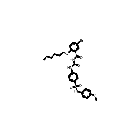 CCCCCCOc1ccc(Br)cc1C(=O)NC(=S)Nc1ccc(S(=O)(=O)Nc2ccc(OC)cc2)cc1